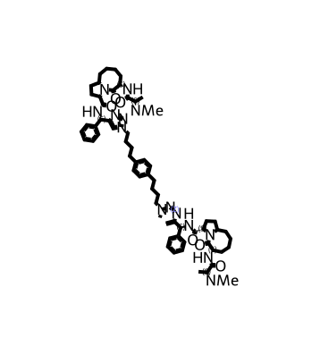 C=C(/N=N\N(C)CCCCc1ccc(CCCCn2cc([C@@H](NC(=O)C3CCC4CCCC[C@H](NC(=O)[C@H](C)NC)C(=O)N43)c3ccccc3)nn2)cc1)[C@@H](NC(=O)[C@@H]1CCC2CCCC[C@H](NC(=O)[C@H](C)NC)C(=O)N21)c1ccccc1